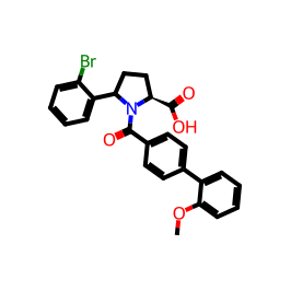 COc1ccccc1-c1ccc(C(=O)N2C(c3ccccc3Br)CC[C@H]2C(=O)O)cc1